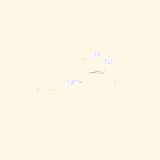 Cc1[nH]ncc1C=N[S+]([O-])C(C)(C)C